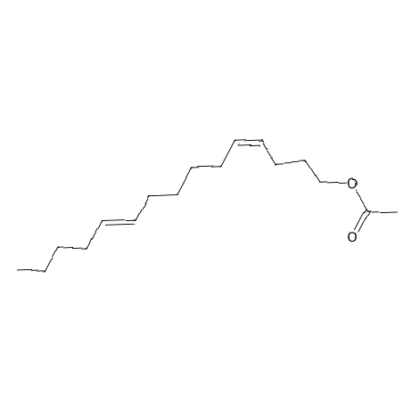 CCCC/C=C/CCCC/C=C\CCCOC(C)=O